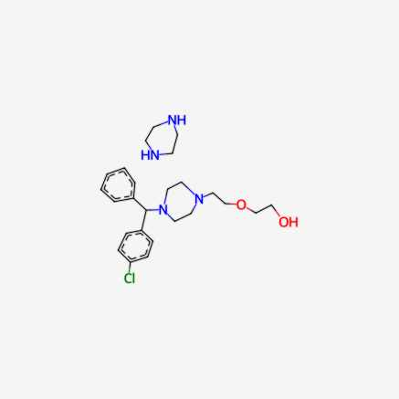 C1CNCCN1.OCCOCCN1CCN(C(c2ccccc2)c2ccc(Cl)cc2)CC1